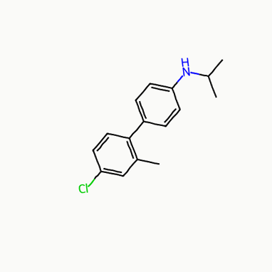 Cc1cc(Cl)ccc1-c1ccc(NC(C)C)cc1